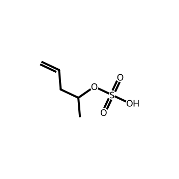 C=CCC(C)OS(=O)(=O)O